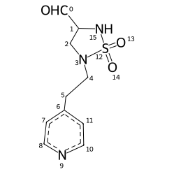 O=CC1CN(CCc2ccncc2)S(=O)(=O)N1